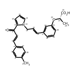 Cc1ccc(/C=C/C(=O)c2cccn2C/C=C/c2cccc(O[C@@H](C)C(=O)O)c2)cc1